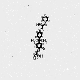 CC(C)(c1ccc(OC[C@H](O)CN2CCSCC2)cc1)c1ccc(OC[C@H](O)CCl)c(Br)c1